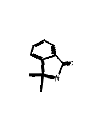 CC1(C)[N]C(=O)c2ccccc21